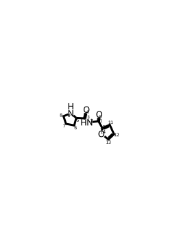 O=C(NC(=O)C1CCCN1)c1ccco1